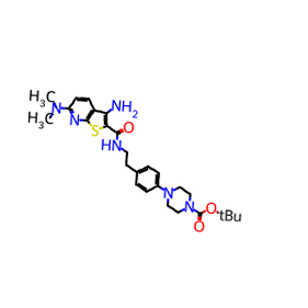 CN(C)c1ccc2c(N)c(C(=O)NCCc3ccc(N4CCN(C(=O)OC(C)(C)C)CC4)cc3)sc2n1